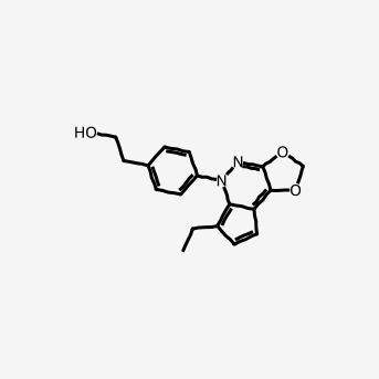 CCc1ccc2c3c(nn(-c4ccc(CCO)cc4)c1-2)OCO3